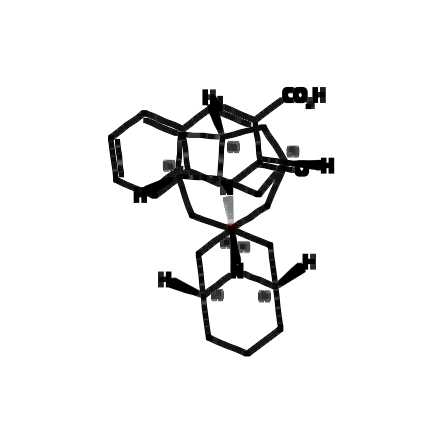 O=C(O)c1nc2ccccc2n([C@H]2C[C@H]3CCC[C@@H](C2)N3[C@@H]2C[C@@H]3CC4[C@@H](C3)C[C@H]4C2)c1=O